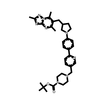 Cc1nc2nc(C)c(CC3CCN(c4ccc(-c5ccc(CN6CCN(C(=O)OC(C)(C)C)CC6)cn5)cc4)C3)c(C)n2n1